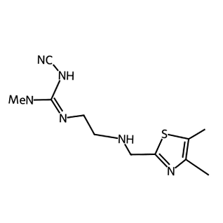 CN/C(=N/CCNCc1nc(C)c(C)s1)NC#N